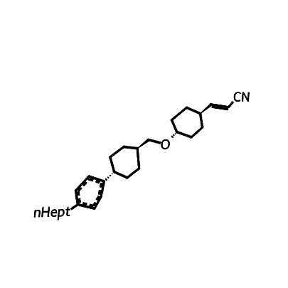 CCCCCCCc1ccc([C@H]2CC[C@H](CO[C@H]3CC[C@H](C=CC#N)CC3)CC2)cc1